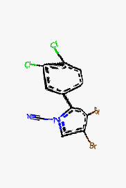 N#Cn1cc(Br)c(Br)c1-c1ccc(Cl)c(Cl)c1